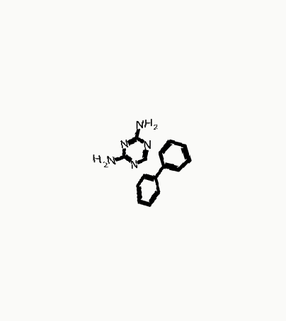 Nc1ncnc(N)n1.c1ccc(-c2ccccc2)cc1